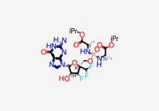 CC(C)OC(=O)[C@H](C)NP(=O)(N[C@@H](C)C(=O)OC(C)C)OC[C@@]1(C(F)F)O[C@@H](n2cnc3c(=O)[nH]c(N)nc32)[C@H](O)[C@H]1F